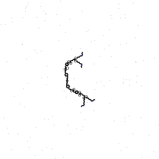 CC/C=C\CCCCOC(CCCC(=O)Oc1ccc(CC(=O)OCCC2CCN(CCSSCCN3CCC(CCOC(=O)Cc4ccc(OC(=O)CCCC(OCCCC/C=C\CC)OCCCC/C=C\CC)cc4)CC3)CC2)cc1)OCCCC/C=C\CC